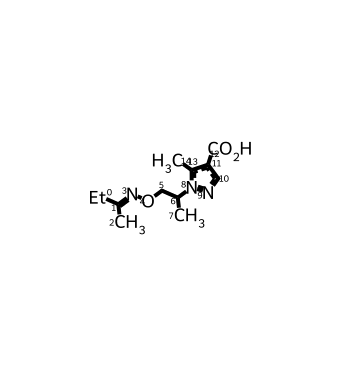 CCC(C)=NOCC(C)n1ncc(C(=O)O)c1C